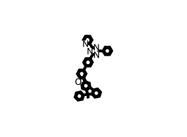 CC1(c2ccccc2)c2ccccc2-c2cc3c(cc21)oc1ccc(-c2ccc(-c4nc(-c5ccccc5)nc(-c5ccccn5)n4)cc2)cc13